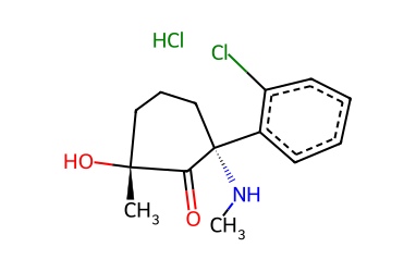 CN[C@@]1(c2ccccc2Cl)CCC[C@@](C)(O)C1=O.Cl